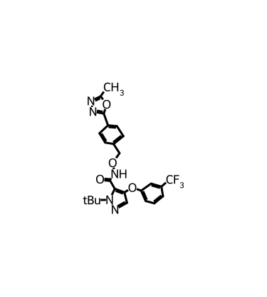 Cc1nnc(-c2ccc(CONC(=O)c3c(Oc4cccc(C(F)(F)F)c4)cnn3C(C)(C)C)cc2)o1